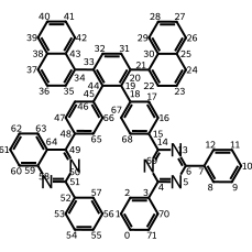 c1ccc(-c2nc(-c3ccccc3)nc(-c3ccc(-c4c(-c5cccc6ccccc56)ccc(-c5cccc6ccccc56)c4-c4ccc(-c5nc(-c6ccccc6)nc6ccccc56)cc4)cc3)n2)cc1